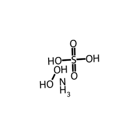 N.O=S(=O)(O)O.OO